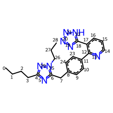 CCCCc1nc(Cc2ccc(-c3ncccc3-c3nnn[nH]3)cc2)n(CCC)n1